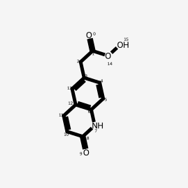 O=C(Cc1ccc2[nH]c(=O)ccc2c1)OO